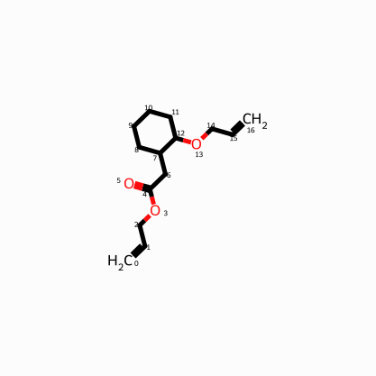 C=CCOC(=O)CC1CCCCC1OCC=C